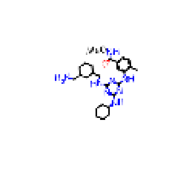 CONC(=O)c1ccc(C)c(Nc2nc(NCC3CCCC(CN)C3)nc(NC3CCCCC3)n2)c1